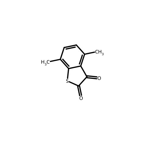 Cc1ccc(C)c2c1SC(=O)C2=O